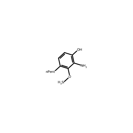 CCCCCc1ccc(O)c(N)c1O[SiH3]